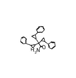 NC(=O)C(C1CC1c1ccccc1)(C1CC1c1ccccc1)C1CC1c1ccccc1